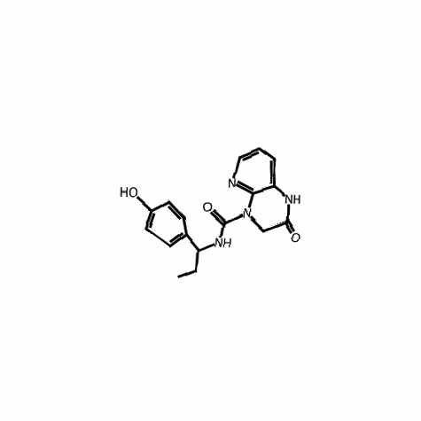 CCC(NC(=O)N1CC(=O)Nc2cccnc21)c1ccc(O)cc1